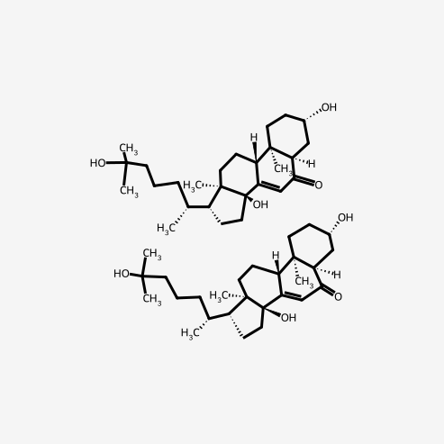 C[C@H](CCCC(C)(C)O)[C@H]1CC[C@@]2(O)C3=CC(=O)[C@@H]4C[C@@H](O)CC[C@]4(C)[C@H]3CC[C@]12C.C[C@H](CCCC(C)(C)O)[C@H]1CC[C@@]2(O)C3=CC(=O)[C@@H]4C[C@@H](O)CC[C@]4(C)[C@H]3CC[C@]12C